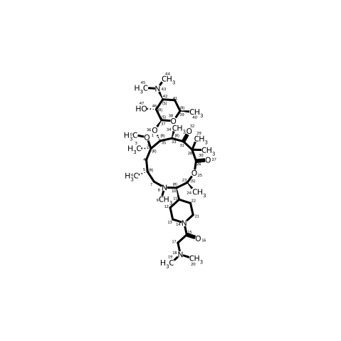 CO[C@]1(C)C[C@@H](C)CN(C)[C@H](C2CCN(C(=O)CN(C)C)CC2)[C@H](C)OC(=O)C(C)(C)C(=O)[C@H](C)[C@H]1O[C@@H]1O[C@H](C)C[C@H](N(C)C)[C@H]1O